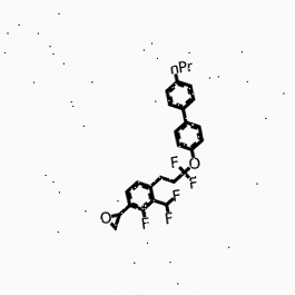 CCCc1ccc(-c2ccc(OC(F)(F)CCc3ccc(C4CO4)c(F)c3C(F)F)cc2)cc1